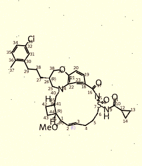 CO[C@H]1/C=C/CCCS(=O)(NC(=O)C2CC2)=NC(=O)c2ccc3c(c2)N(C[C@@H](CCCc2cc(Cl)ccc2C)CO3)C[C@@H]2CC[C@H]21